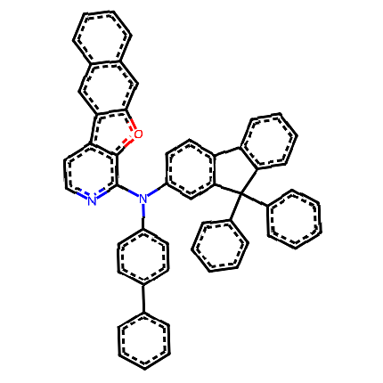 c1ccc(-c2ccc(N(c3ccc4c(c3)C(c3ccccc3)(c3ccccc3)c3ccccc3-4)c3nccc4c3oc3cc5ccccc5cc34)cc2)cc1